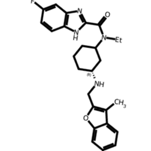 CCN(C(=O)c1nc2cc(F)ccc2[nH]1)C1CCC[C@@H](NCc2oc3ccccc3c2C)C1